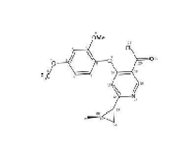 COc1cc(OC(F)(F)F)ccc1Oc1cc(C2C[C@H]2C)ncc1C(=O)Cl